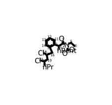 CCCCCC(C(=O)N1CCOC1=O)c1ccccc1CC(Cl)CC(Cl)CCC